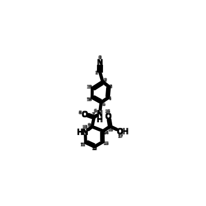 N#Cc1ccc(NC(=O)C2NC=CC=C2C(=O)O)cc1